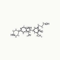 Cc1cc(-c2[nH]c3ccc(C4CCNCC4)cc3c2C(C)C)cn(CCCO)c1=O